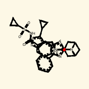 O=C(NS(=O)(=O)C1CC1)c1ccc2nc(N3C4CC(NCc5c(-c6ccccc6C(F)(F)F)noc5C5CC5)CC3C4)sc2c1